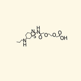 CCCN[C@H]1CCc2nc(NC(=O)COCCOCC(=O)O)sc2C1